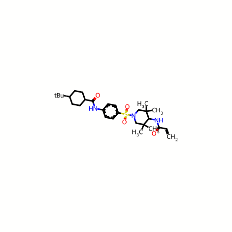 C=CC(=O)NC1C(C)(C)CN(S(=O)(=O)c2ccc(NC(=O)C3CCC(C(C)(C)C)CC3)cc2)CC1(C)C